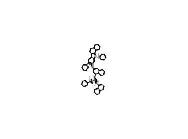 c1ccc(-c2nc(-c3cccc4ccccc34)nc(-c3cc(-n4c5ccccc5c5cc6c7ccc8ccccc8c7n(-c7ccccc7)c6cc54)cc4ccccc34)n2)cc1